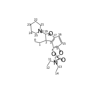 CCC1c2cc(OS(=O)(=O)N(CC)CC)ccc2OC1N1CCCCC1